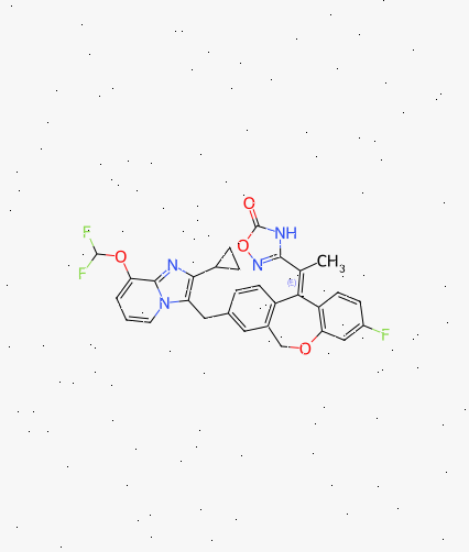 C/C(=C1/c2ccc(Cc3c(C4CC4)nc4c(OC(F)F)cccn34)cc2COc2cc(F)ccc21)c1noc(=O)[nH]1